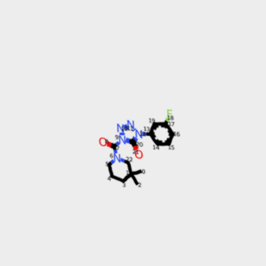 CC1(C)CCCN(C(=O)n2nnn(-c3cccc(F)c3)c2=O)C1